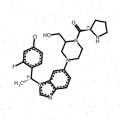 C[C@H](c1ccc(Cl)cc1F)n1cnc2ccc(N3CCN(C(=O)[C@H]4CCCN4)C(CO)C3)cc21